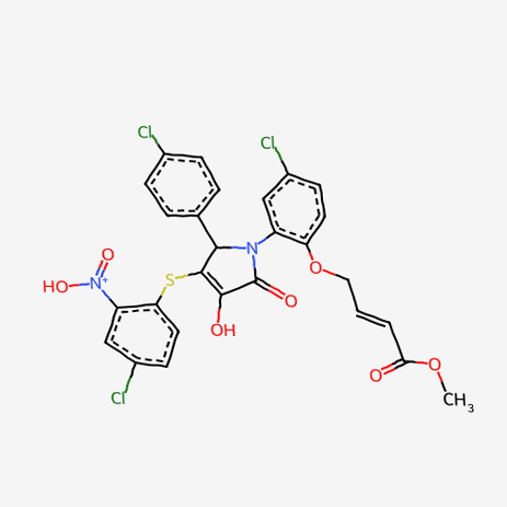 COC(=O)/C=C/COc1ccc(Cl)cc1N1C(=O)C(O)=C(Sc2ccc(Cl)cc2[N+](=O)O)C1c1ccc(Cl)cc1